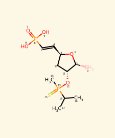 B[C@@H]1O[C@H](/C=C/P(=O)(O)O)C[C@H]1OP(C)(=S)C(C)C